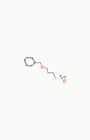 c1ccc(COCCCC[C@@H]2CO2)cc1